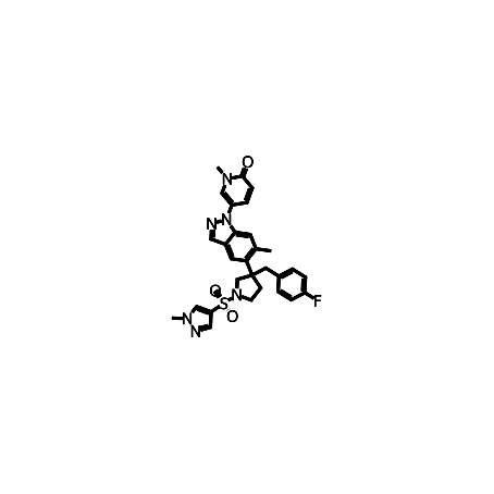 Cc1cc2c(cnn2-c2ccc(=O)n(C)c2)cc1C1(Cc2ccc(F)cc2)CCN(S(=O)(=O)c2cnn(C)c2)C1